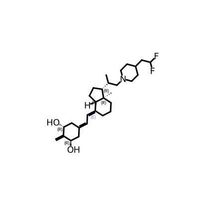 C=C1[C@H](O)CC(=C/C=C2\CCC[C@]3(C)[C@@H](C(C)CN4CCC(CC(F)F)CC4)CC[C@@H]23)C[C@H]1O